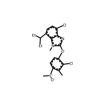 CCC(CC)c1ccc(Cl)c2nc(Oc3ccc([S+](C)[O-])c(C)c3Cl)n(C)c12